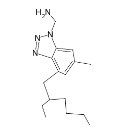 CCCCC(CC)Cc1cc(C)cc2c1nnn2CN